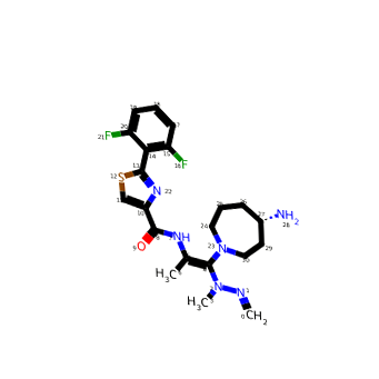 C=NN(C)/C(=C(\C)NC(=O)c1csc(-c2c(F)cccc2F)n1)N1CCC[C@H](N)CC1